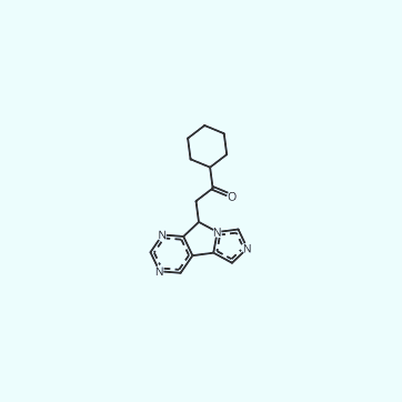 O=C(CC1c2ncncc2-c2cncn21)C1CCCCC1